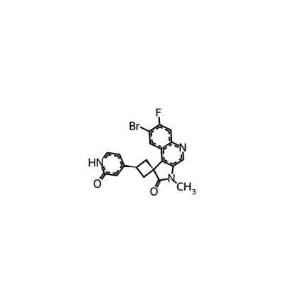 CN1c2cnc3cc(F)c(Br)cc3c2[C@]2(C[C@H](c3cc[nH]c(=O)c3)C2)C1=O